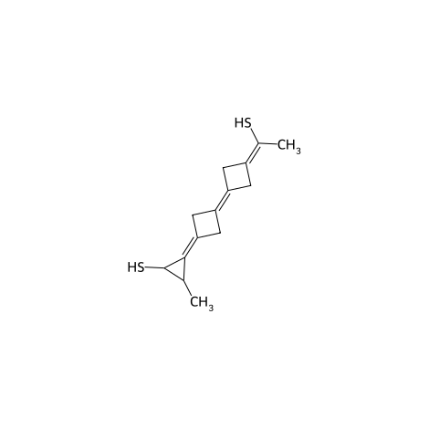 CC(S)=C1CC(=C2CC(=C3C(C)C3S)C2)C1